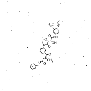 [C-]#[N+]c1ccc(NC(=O)[C@H](O)[C@H]2OCCN(c3cccc(C(=O)N(C)CC(=O)OCc4ccccc4)c3)C2=O)cc1CC